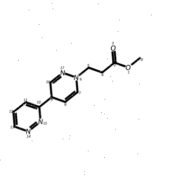 COC(=O)CCN1C=CC(c2cccnn2)C=N1